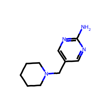 Nc1ncc(CN2CCCCC2)cn1